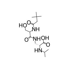 CC(C)N[C@H](CNC(=O)C(CO)NC(=O)CC(C)(C)C)C(=O)O